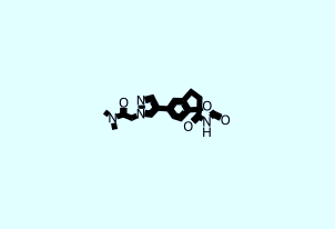 CN(C)C(=O)Cn1cc(-c2ccc3c(c2)CCC32OC(=O)NC2=O)cn1